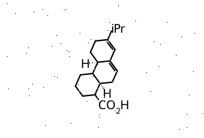 CC(C)C1=CC2=CC[C@H]3C(C(=O)O)CCCC3[C@H]2CC1